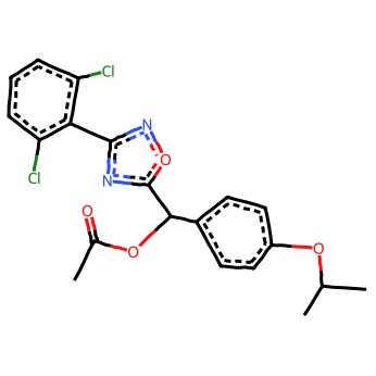 CC(=O)OC(c1ccc(OC(C)C)cc1)c1nc(-c2c(Cl)cccc2Cl)no1